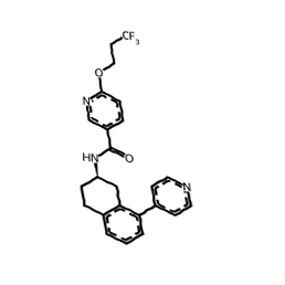 O=C(N[C@@H]1CCc2cccc(-c3ccncc3)c2C1)c1ccc(OCCC(F)(F)F)nc1